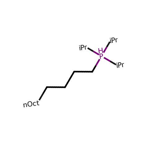 CCCCCCCCCCCC[PH](C(C)C)(C(C)C)C(C)C